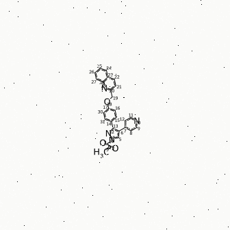 CS(=O)(=O)n1cc(-c2ccncc2)c(-c2ccc(OCc3ccc4ccccc4n3)cc2)n1